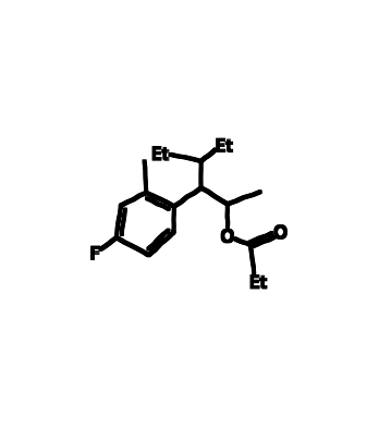 CCC(=O)OC(C)C(c1ccc(F)cc1C)C(CC)CC